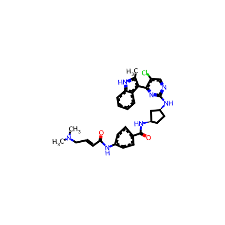 Cc1[nH]c2ccccc2c1-c1nc(N[C@H]2CC[C@@H](NC(=O)c3ccc(NC(=O)/C=C/CN(C)C)cc3)C2)ncc1Cl